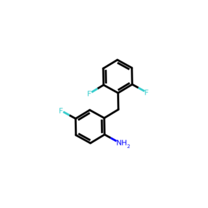 Nc1ccc(F)cc1Cc1c(F)cccc1F